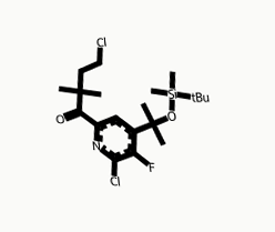 CC(C)(CCCl)C(=O)c1cc(C(C)(C)O[Si](C)(C)C(C)(C)C)c(F)c(Cl)n1